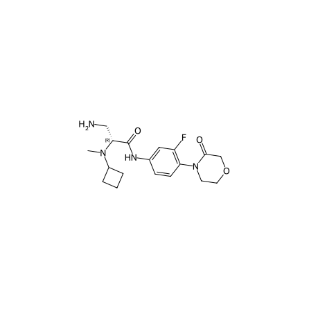 CN(C1CCC1)[C@H](CN)C(=O)Nc1ccc(N2CCOCC2=O)c(F)c1